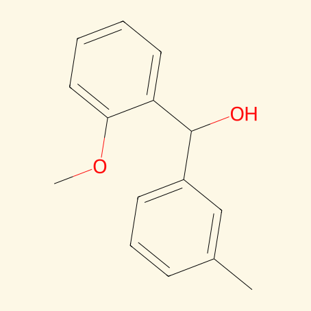 COc1ccccc1C(O)c1cccc(C)c1